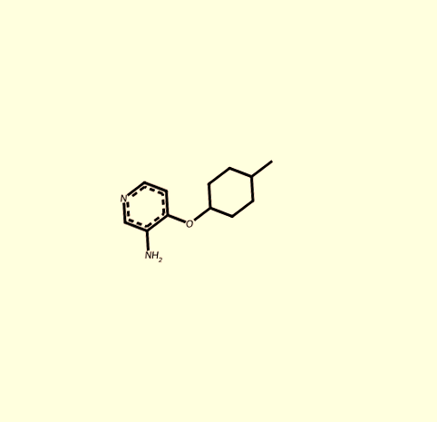 CC1CCC(Oc2ccncc2N)CC1